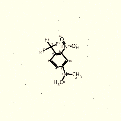 CN(C)c1ccc(C(F)(F)F)c([N+](=O)[O-])c1